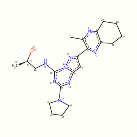 Cc1nc2c(nc1-c1cc3nc(N4CCCC4)nc(NC[C@H](O)C(F)(F)F)n3n1)CCCC2